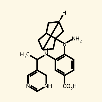 CC(Nc1cc(C(=O)O)ccc1N(N)C12CC3CC1C[C@@H]3C2)C1=CN=CNC1